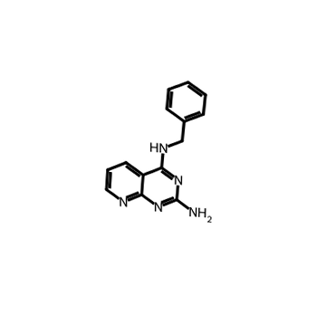 Nc1nc(NCc2ccccc2)c2cccnc2n1